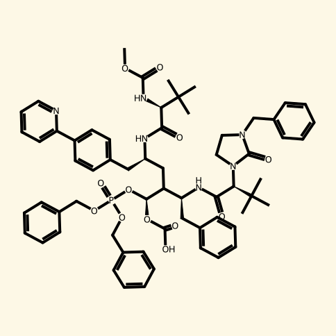 COC(=O)N[C@H](C(=O)N[C@H](Cc1ccc(-c2ccccn2)cc1)CC([C@@H](OC(=O)O)OP(=O)(OCc1ccccc1)OCc1ccccc1)[C@H](Cc1ccccc1)NC(=O)[C@@H](N1CCN(Cc2ccccc2)C1=O)C(C)(C)C)C(C)(C)C